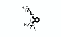 CCPCCOC(=O)C1CCCCC1C(=O)OC(C)C